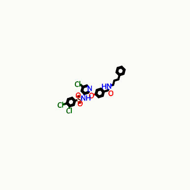 O=C(NCCCc1ccccc1)c1ccc(Oc2ncc(Cl)cc2NS(=O)(=O)c2ccc(Cl)c(Cl)c2)cc1